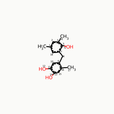 Cc1cc(C)c(O)c(Cc2cc(O)c(O)cc2C)c1